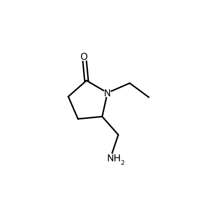 CCN1C(=O)CCC1CN